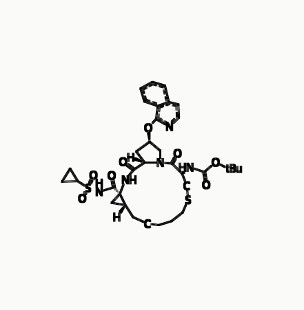 CC(C)(C)OC(=O)N[C@H]1CSCCCCC[C@@H]2C[C@@]2(C(=O)NS(=O)(=O)C2CC2)NC(=O)[C@@H]2C[C@@H](Oc3nccc4ccccc34)CN2C1=O